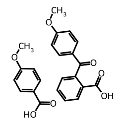 COc1ccc(C(=O)O)cc1.COc1ccc(C(=O)c2ccccc2C(=O)O)cc1